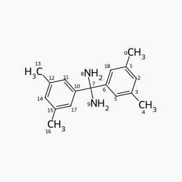 Cc1cc(C)cc(C(N)(N)c2cc(C)cc(C)c2)c1